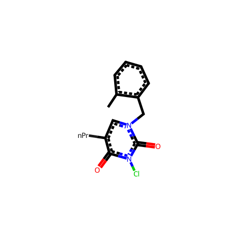 CCCc1cn(Cc2ccccc2C)c(=O)n(Cl)c1=O